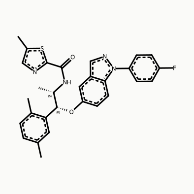 Cc1ccc(C)c([C@@H](Oc2ccc3c(cnn3-c3ccc(F)cc3)c2)[C@H](C)NC(=O)c2ncc(C)s2)c1